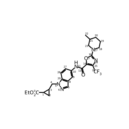 CCOC(=O)C1CC1Cn1ncc2cc(NC(=O)c3oc(N4CCCC(C)C4)nc3C(F)(F)F)ccc21